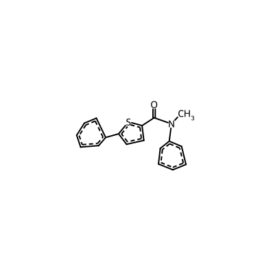 CN(C(=O)c1ccc(-c2ccccc2)s1)c1ccccc1